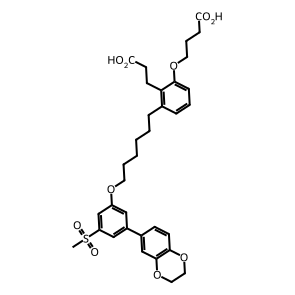 CS(=O)(=O)c1cc(OCCCCCCc2cccc(OCCCC(=O)O)c2CCC(=O)O)cc(-c2ccc3c(c2)OCCO3)c1